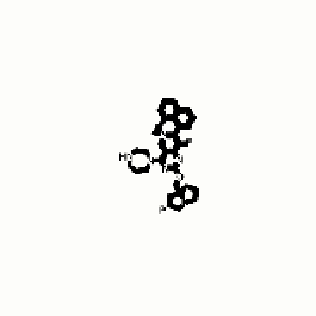 C#Cc1cccc2cccc(-c3ncc4c(N5CCCNCC5)nc(OCC56CCCN5C[C@H](F)C6)nc4c3F)c12